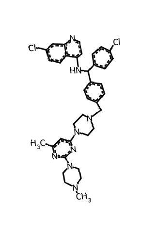 Cc1cc(N2CCN(Cc3ccc(C(Nc4ccnc5cc(Cl)ccc45)c4ccc(Cl)cc4)cc3)CC2)nc(N2CCN(C)CC2)n1